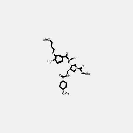 COCCCOc1cc(C(=O)N(C[C@@H]2CN(C(=O)OC(C)(C)C)C[C@H]2CNC(=O)[C@H]2CC[C@H](OC)CC2)C(C)C)ccc1C